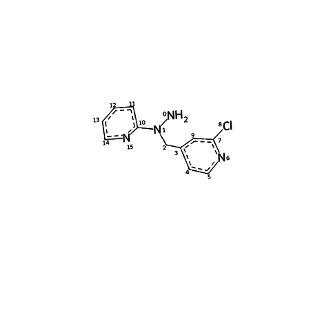 NN(Cc1ccnc(Cl)c1)c1ccccn1